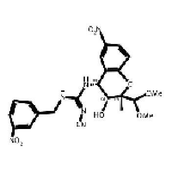 COC(OC)[C@@]1(C)Oc2ccc([N+](=O)[O-])cc2[C@@H](NC(=NC#N)NCc2cccc([N+](=O)[O-])c2)[C@@H]1O